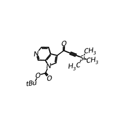 CC(C)(C)OC(=O)n1cc(C(=O)C#C[Si](C)(C)C)c2ccncc21